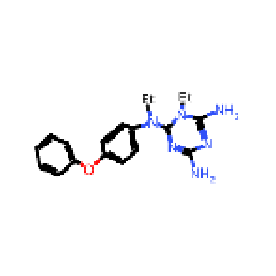 CCN1C(N)=NC(N)=NC1N(CC)c1ccc(Oc2ccccc2)cc1